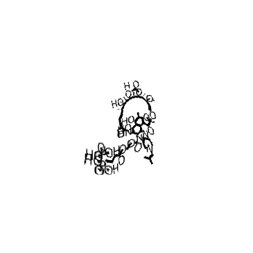 CO[C@H]1/C=C/O[C@@]2(C)Oc3c(C)c(O)c4c(c3C2=O)C2=NC3(CCN(CC(C)C)CC3)N(C(=O)OCOC(=O)CCC(P(=O)(O)O)P(=O)(O)O)C2C(=C4O)NC(=O)/C(C)=C\C=C\[C@H](C)[C@H](O)[C@@H](C)[C@@H](O)[C@@H](C)[C@H](OC(C)=O)[C@@H]1C